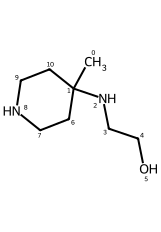 CC1(NCCO)CCNCC1